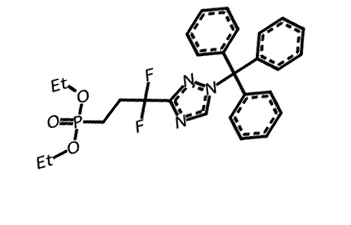 CCOP(=O)(CCC(F)(F)c1ncn(C(c2ccccc2)(c2ccccc2)c2ccccc2)n1)OCC